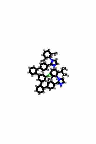 C=C(C)c1cccc(C(C)C)c1-n1ccnc1-c1ccc(-c2ccccc2-c2cc(Cl)cc(-c3ccccc3-c3ccc(-c4nccn4-c4c(C(C)C)cccc4C(C)C)cc3)c2)cc1